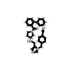 N#Cc1ccc(Cn2cncc2CN[C@@H]2CCN(C(=O)c3ccccc3-c3ccccc3)C2)cc1